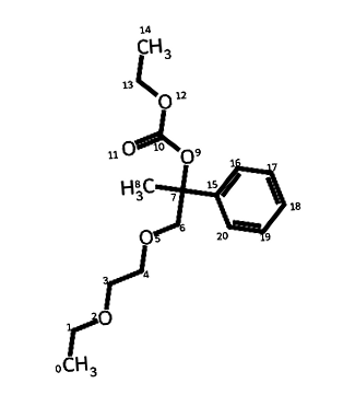 CCOCCOCC(C)(OC(=O)OCC)c1ccccc1